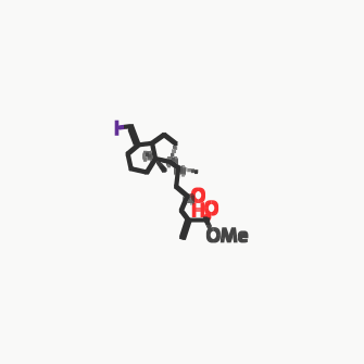 C=C(C[C@@H](O)C[C@@H](C)[C@H]1CCC2C(=CI)CCC[C@]21C)C(=O)OC